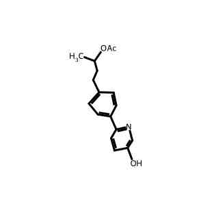 CC(=O)OC(C)CCc1ccc(-c2ccc(O)cn2)cc1